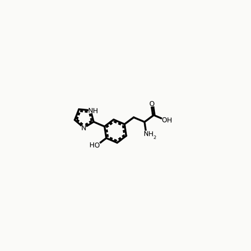 NC(Cc1ccc(O)c(-c2ncc[nH]2)c1)C(=O)O